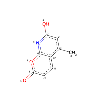 Cc1cc(O)nc2oc(=O)ccc12